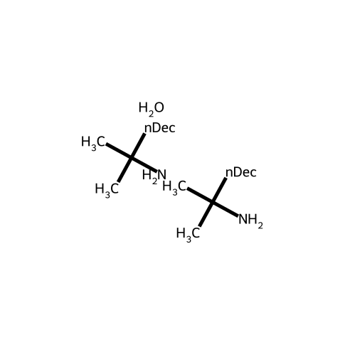 CCCCCCCCCCC(C)(C)N.CCCCCCCCCCC(C)(C)N.O